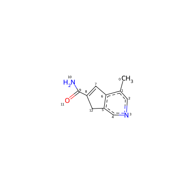 Cc1cncc2c1C=C(C(N)=O)C2